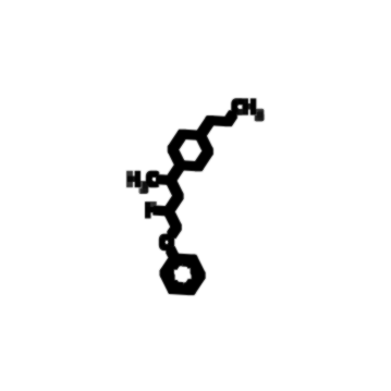 CCCC1CCC(C(C)CC(F)COc2ccccc2)CC1